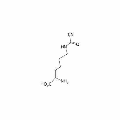 N#CC(=O)NCCCCC(N)C(=O)O